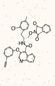 C#Cc1cccc(Oc2cnc3ccccc3c2C(=O)N[C@@H](CON2C(=O)c3ccccc3C2=O)Cc2ccc(C)cc2Cl)c1